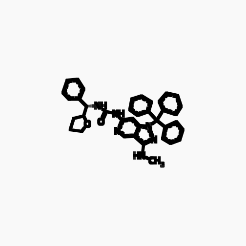 CNc1nn(C(c2ccccc2)(c2ccccc2)c2ccccc2)c2cc(NC(=O)N[C@@H](c3ccccc3)C3CCCO3)ncc12